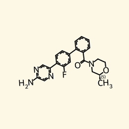 C[C@H]1CN(C(=O)c2ccccc2-c2ccc(-c3cnc(N)cn3)c(F)c2)CCO1